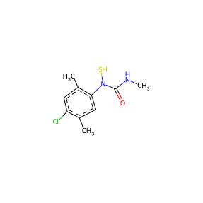 CNC(=O)N(S)c1cc(C)c(Cl)cc1C